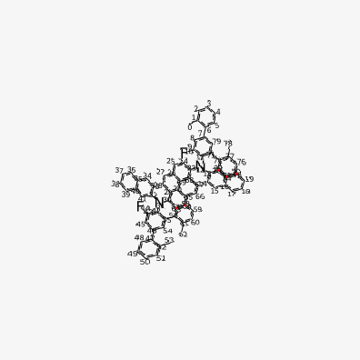 Cc1ccccc1-c1cc(F)c(N(c2ccc3ccccc3c2)c2ccc3ccc4c(N(c5ccc6ccccc6c5)c5c(F)cc(-c6ccccc6C)cc5-c5ccccc5C)ccc5ccc2c3c54)c(-c2ccccc2C)c1